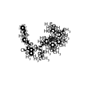 CC(=O)N[C@H]1[C@H](OC2[C@@H](CO)O[C@@H](OC3[C@@H](CO)OC(O)[C@H](NC(C)=O)[C@H]3O)[C@H](NC(C)=O)[C@H]2O)O[C@H](CO)C(O[C@@H]2C[C@H](CO)C(O[C@@H]3O[C@H](CO)[C@@H](O)[C@H](O)[C@H]3NC(=O)CCN(CCN(C)C(=O)OC(C)(C)C)C(=O)Oc3cc4c(c5c(C)cccc35)[C@H](CCl)CN4C(=O)c3cn4cc(NC(=O)c5cc6ccccc6o5)ccc4n3)[C@H](O)[C@H]2NC(C)=O)[C@@H]1O